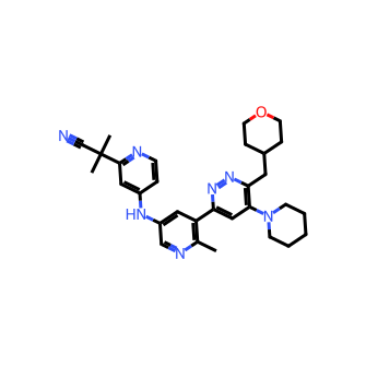 Cc1ncc(Nc2ccnc(C(C)(C)C#N)c2)cc1-c1cc(N2CCCCC2)c(CC2CCOCC2)nn1